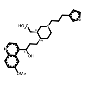 COc1ccc2nccc([C@H](O)CC[C@@H]3CCN(CCCc4ccsc4)C[C@@H]3CC(=O)O)c2c1